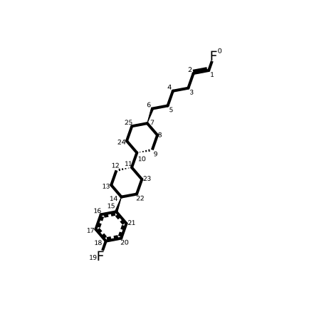 FC=CCCCC[C@H]1CC[C@H]([C@H]2CC[C@H](c3ccc(F)cc3)CC2)CC1